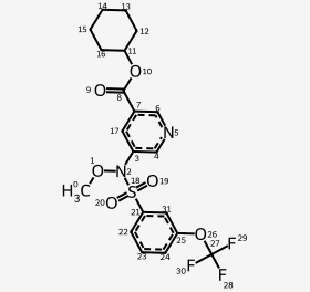 CON(c1cncc(C(=O)OC2CCCCC2)c1)S(=O)(=O)c1cccc(OC(F)(F)F)c1